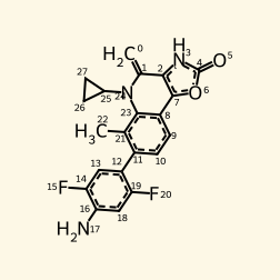 C=C1c2[nH]c(=O)oc2-c2ccc(-c3cc(F)c(N)cc3F)c(C)c2N1C1CC1